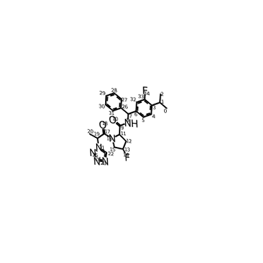 CC(C)c1ccc(C(NC(=O)C2CC(F)CN2C(=O)C(C)n2cnnn2)c2ccccc2)cc1F